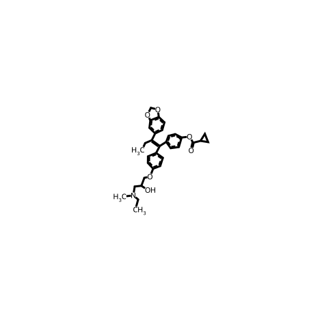 CCC(=C(c1ccc(OCC(O)CN(C)CC)cc1)c1ccc(OC(=O)C2CC2)cc1)c1ccc2c(c1)OCO2